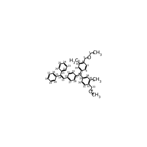 CCOCc1ccc(N(c2ccc(C=C(c3ccccc3)c3ccccc3)cc2)c2ccc(COC)c(C)c2)cc1C